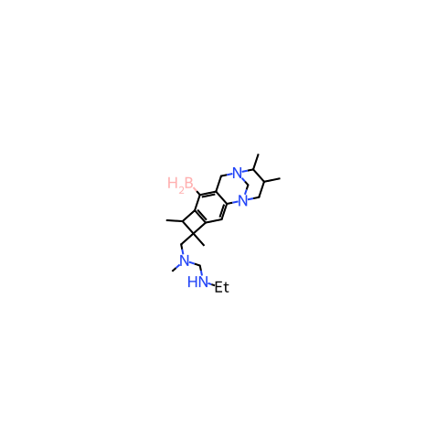 Bc1c2c(cc3c1C(C)C3(C)CN(C)CNCC)N1CC(C)C(C)N(C2)C1